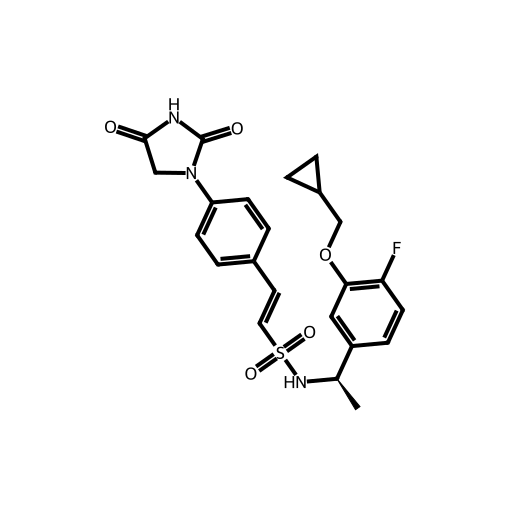 C[C@@H](NS(=O)(=O)/C=C/c1ccc(N2CC(=O)NC2=O)cc1)c1ccc(F)c(OCC2CC2)c1